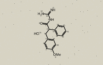 COc1ccc(CC(C(=O)NC(=N)N)c2ccccc2)cc1.Cl